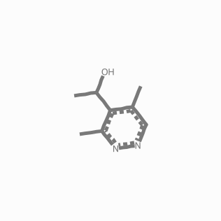 Cc1cnnc(C)c1C(C)O